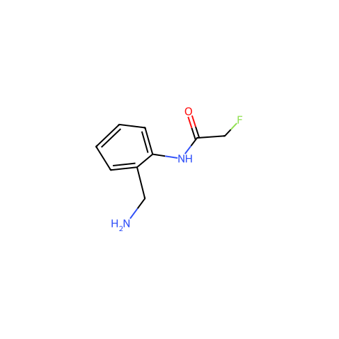 NCc1ccccc1NC(=O)CF